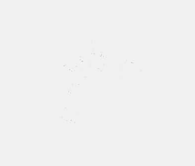 O=C(NCc1ccccc1)[C@H]1CCCN1c1nc2c(=O)[nH]c(C(F)(F)c3ccccc3)nc2s1